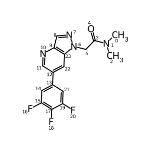 CN(C)C(=O)Cn1ncc2ncc(-c3cc(F)c(F)c(F)c3)cc21